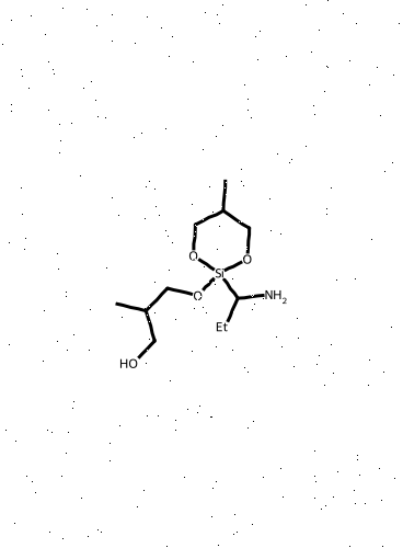 CCC(N)[Si]1(OCC(C)CO)OCC(C)CO1